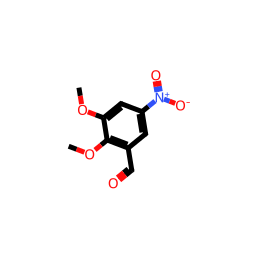 COc1cc([N+](=O)[O-])cc(C=O)c1OC